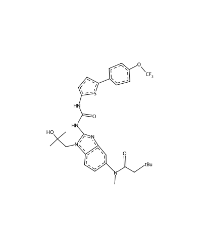 CN(C(=O)CC(C)(C)C)c1ccc2c(c1)nc(NC(=O)Nc1ccc(-c3ccc(OC(F)(F)F)cc3)s1)n2CC(C)(C)O